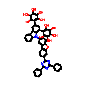 Oc1c(O)c(O)c(-c2cc(-c3c(O)c(O)c(O)c(O)c3O)c3c(c2)c2ccccc2n3-c2ccc3oc4cc(-c5nc(-c6ccccc6)nc(-c6ccccc6)n5)ccc4c3c2)c(O)c1O